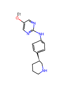 CCOc1cnc(Nc2ccc([C@@H]3CCCNC3)cc2)nc1